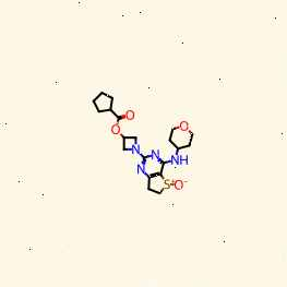 O=C(OC1CN(c2nc3c(c(NC4CCOCC4)n2)[S+]([O-])CC3)C1)C1CCCC1